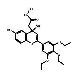 CCOc1cc(C2=CC(O)(CC(=O)NO)c3cc(O)ccc3O2)cc(OCC)c1OCC